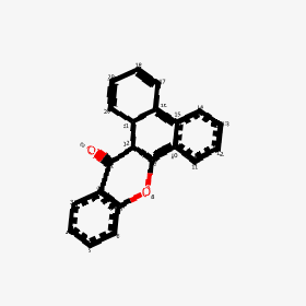 O=C1c2ccccc2OC2=c3ccccc3=C3C=CC=CC3C12